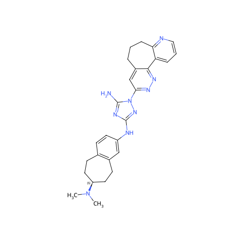 CN(C)[C@H]1CCc2ccc(Nc3nc(N)n(-c4cc5c(nn4)-c4cccnc4CCC5)n3)cc2CC1